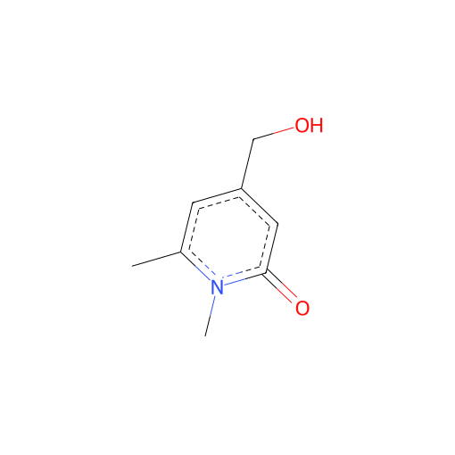 Cc1cc(CO)cc(=O)n1C